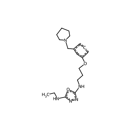 CCNc1nnc(NCCCOc2cccc(CN3CCCCC3)c2)o1